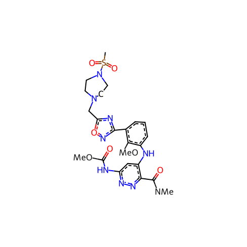 CNC(=O)c1nnc(NC(=O)OC)cc1Nc1cccc(-c2noc(CN3CCN(S(C)(=O)=O)CC3)n2)c1OC